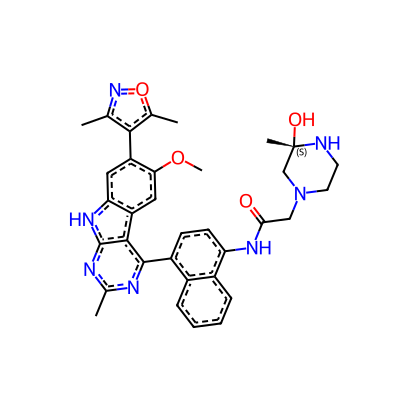 COc1cc2c(cc1-c1c(C)noc1C)[nH]c1nc(C)nc(-c3ccc(NC(=O)CN4CCN[C@@](C)(O)C4)c4ccccc34)c12